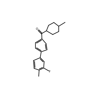 Cc1ccc(-c2ccc(C(=O)C3CCC(C)CC3)cc2)cc1F